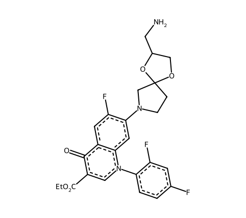 CCOC(=O)c1cn(-c2ccc(F)cc2F)c2cc(N3CCC4(C3)OCC(CN)O4)c(F)cc2c1=O